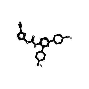 CC1CCN(c2nc(C3CCN(C)CC3)ccc2NC(=O)Oc2ccc(C#N)o2)CC1